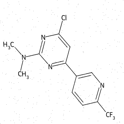 CN(C)c1nc(Cl)cc(-c2ccc(C(F)(F)F)nc2)n1